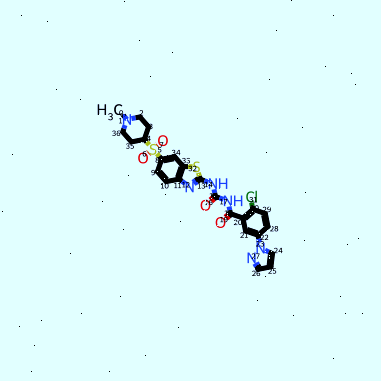 CN1CCC(S(=O)(=O)c2ccc3nc(NC(=O)NC(=O)c4cc(-n5cccn5)ccc4Cl)sc3c2)CC1